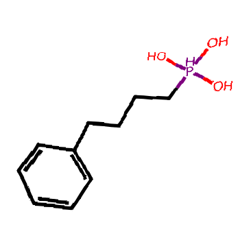 O[PH](O)(O)CCCCc1ccccc1